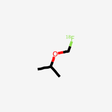 CC(C)OC[18F]